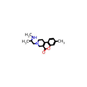 CNC(C)CN1CCc2c(c(=O)oc3cc(C)ccc23)C1